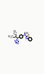 CCC(CC)C(c1ccc(N(C)c2nc3ccccc3s2)cc1)n1cncn1